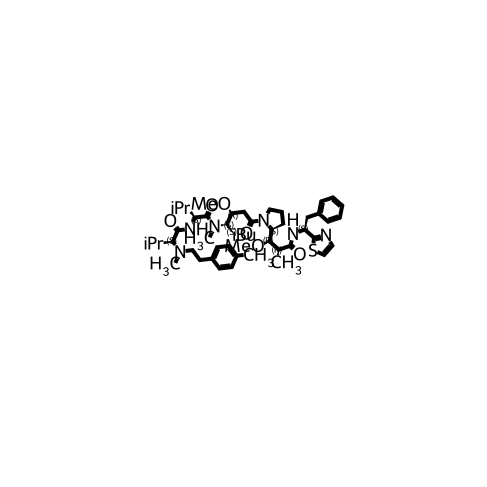 CC[C@H](C)[C@@H]([C@@H](CC(=O)N1CCC[C@H]1[C@H](OC)[C@@H](C)C(=O)N[C@@H](Cc1ccccc1)c1nccs1)OC)N(C)C(=O)[C@@H](NC(=O)[C@H](C(C)C)N(C)CCc1ccc(C)cc1)C(C)C